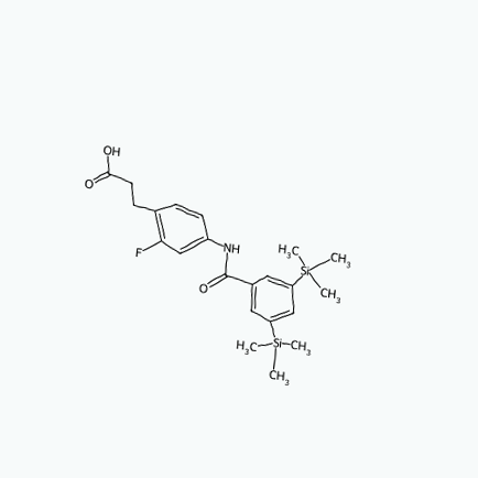 C[Si](C)(C)c1cc(C(=O)Nc2ccc(CCC(=O)O)c(F)c2)cc([Si](C)(C)C)c1